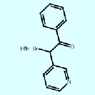 Br.O=C(c1ccccc1)C(Br)c1cccnc1